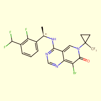 C[C@@H](Nc1ncnc2c(Br)c(=O)n(C3(C(F)(F)F)CC3)cc12)c1cccc(C(F)F)c1F